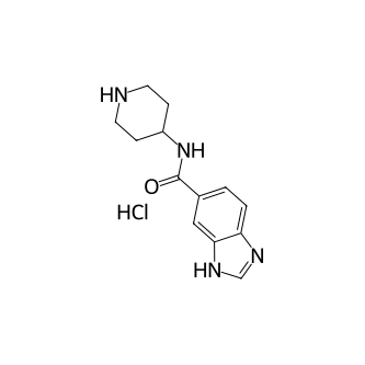 Cl.O=C(NC1CCNCC1)c1ccc2nc[nH]c2c1